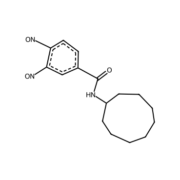 O=Nc1ccc(C(=O)NC2CCCCCCCC2)cc1N=O